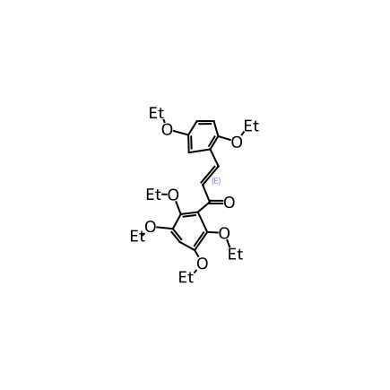 CCOc1ccc(OCC)c(/C=C/C(=O)c2c(OCC)c(OCC)cc(OCC)c2OCC)c1